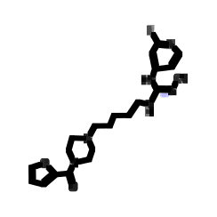 N#C/N=C(/NCCCCCN1CCN(C(=O)c2ccco2)CC1)Nc1ccnc(F)c1